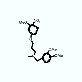 COc1ccc(CN(C)CCCOc2ccc([N+](=O)[O-])c(OC)c2)cc1OC